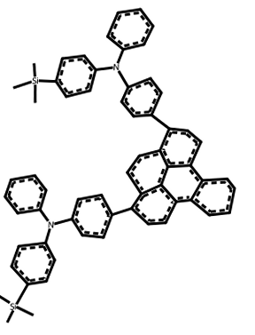 C[Si](C)(C)c1ccc(N(c2ccccc2)c2ccc(-c3ccc4c5ccccc5c5ccc(-c6ccc(N(c7ccccc7)c7ccc([Si](C)(C)C)cc7)cc6)c6ccc3c4c65)cc2)cc1